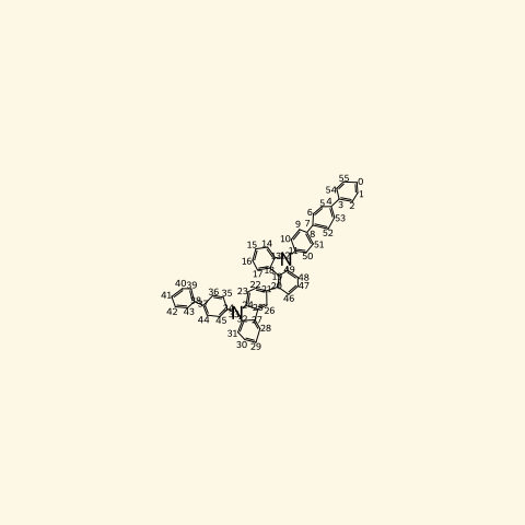 c1ccc(-c2ccc(-c3ccc(-n4c5ccccc5c5c(-c6ccc7c(c6)c6ccccc6n7-c6ccc(-c7ccccc7)cc6)cccc54)cc3)cc2)cc1